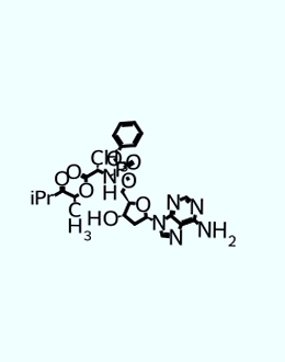 CC(C)C(=O)[C@H](C)OC(=O)[C@H](C)N[P@](=O)(OC[C@H]1O[C@@H](n2cnc3c(N)ncnc32)C[C@@H]1O)Oc1ccccc1